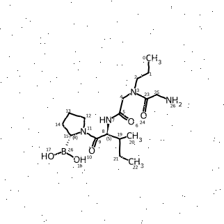 CCCN(CC(=O)N[C@H](C(=O)N1CCC[C@H]1B(O)O)C(C)CC)C(=O)CN